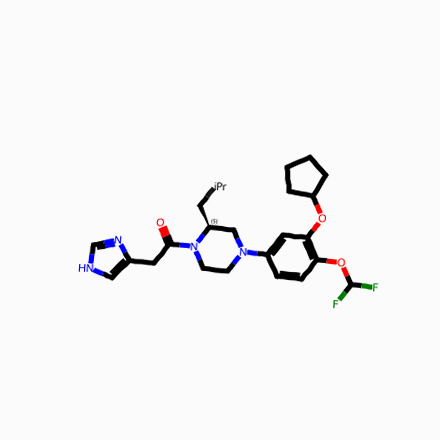 CC(C)C[C@H]1CN(c2ccc(OC(F)F)c(OC3CCCC3)c2)CCN1C(=O)Cc1c[nH]cn1